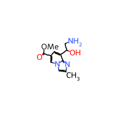 COC(=O)c1cc(C(O)CN)c2nc(C)cn2c1